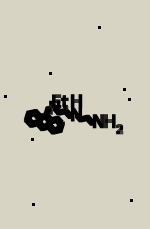 CCN(CCCNCCCN)Cc1c2ccccc2cc2ccccc12